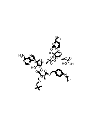 CN(C(=O)OCc1ccc(N=[N+]=[N-])cc1)[C@H](CSSC(C)(C)C)C(=O)O[C@H]1[C@@H](O)[C@H](n2cnc3c(N)ncnc32)O[C@@H]1COP(=O)(O)O[C@H]1[C@@H](O)[C@H](n2ccc(N)nc2=O)O[C@@H]1COP(=O)(O)O